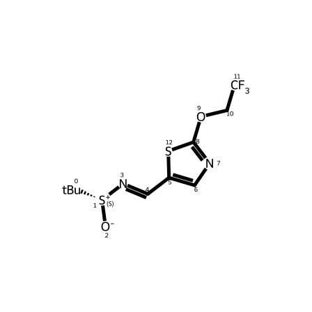 CC(C)(C)[S@@+]([O-])N=Cc1cnc(OCC(F)(F)F)s1